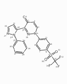 O=c1ccn(-c2ccc(S(=O)(=O)C(F)(F)F)cc2)nc1-c1ccnn1-c1ccccc1